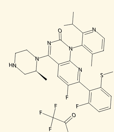 CSc1cccc(F)c1-c1nc2c(cc1F)c(N1CCNC[C@@H]1C)nc(=O)n2-c1c(C)ccnc1C(C)C.O=C(O)C(F)(F)F